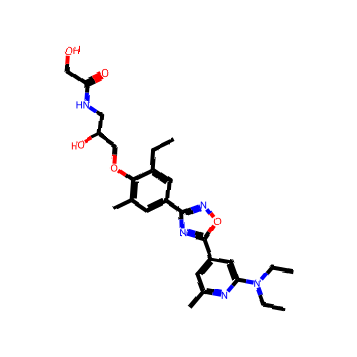 CCc1cc(-c2noc(-c3cc(C)nc(N(CC)CC)c3)n2)cc(C)c1OCC(O)CNC(=O)CO